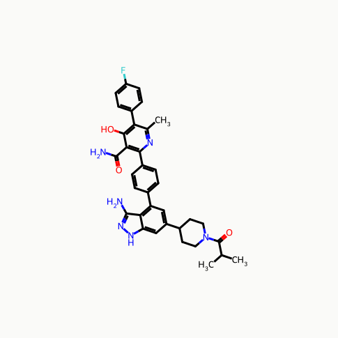 Cc1nc(-c2ccc(-c3cc(C4CCN(C(=O)C(C)C)CC4)cc4[nH]nc(N)c34)cc2)c(C(N)=O)c(O)c1-c1ccc(F)cc1